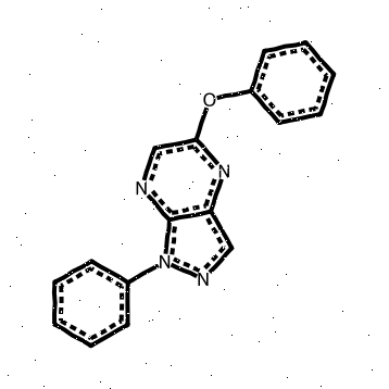 c1ccc(Oc2cnc3c(cnn3-c3ccccc3)n2)cc1